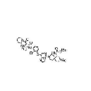 CC(=O)N1CCC2(CCN(c3ncc(Sc4cccc(NC(=O)c5c(O)nc6n(c5=O)CCCC6)c4Cl)c4nccn34)CC2)C(NC(=O)OC(C)(C)C)C1